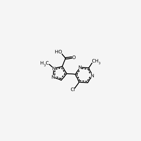 Cc1ncc(Cl)c(-c2cnn(C)c2C(=O)O)n1